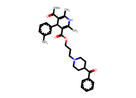 COC(=O)C1=C(C)NC(C)=C(C(=O)OCCCN2CCC(C(=O)c3ccccc3)CC2)C1c1cccc([N+](=O)[O-])c1